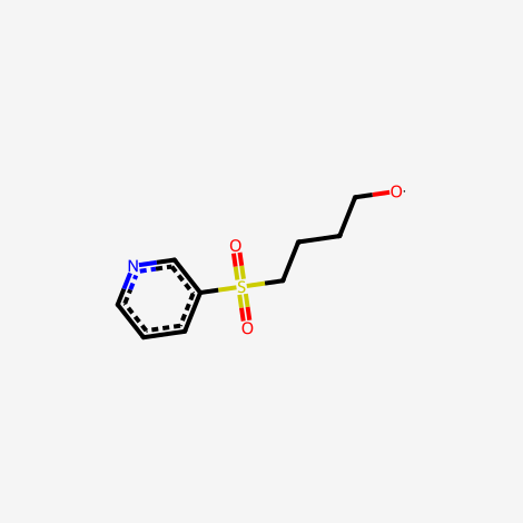 [O]CCCCS(=O)(=O)c1cccnc1